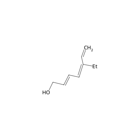 C=C/C(=C\C=C\CO)CC